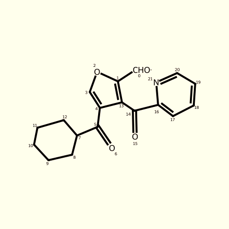 O=[C]c1occ(C(=O)C2CCCCC2)c1C(=O)c1ccccn1